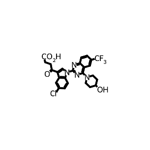 O=C(O)CCC(=O)c1cn(-c2nc(N3CCC(O)CC3)c3cc(C(F)(F)F)ccc3n2)c2ccc(Cl)cc12